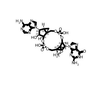 CO[C@@H]1[C@H]2COP(=O)(O)O[C@H]3[C@@H](O)[C@H](n4cnc5c(N)ncnc54)[C@H]4C[C@]43COP(=O)(O)O[C@H]1[C@H](n1cnc3c(=O)[nH]c(N)nc31)C2